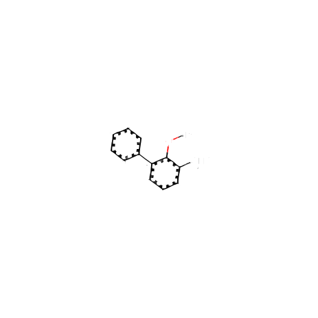 CC(C)Oc1c([C]=O)cccc1-c1ccccc1